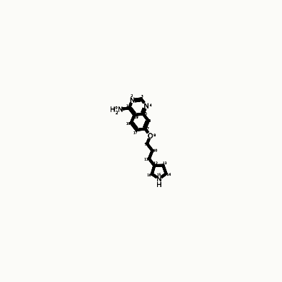 Nc1ncnc2cc(OCCCC3CCNC3)ccc12